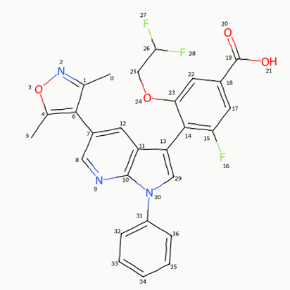 Cc1noc(C)c1-c1cnc2c(c1)c(-c1c(F)cc(C(=O)O)cc1OCC(F)F)cn2-c1ccccc1